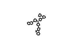 CC1(C)c2ccccc2-c2ccc(-c3ccc(N(c4ccc(-c5ccccc5-c5ccccc5)cc4)c4cccc(-c5ccc6ccccc6c5)c4)cc3)cc21